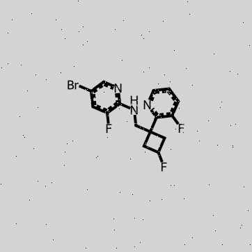 Fc1cc(Br)cnc1NCC1(c2ncccc2F)CC(F)C1